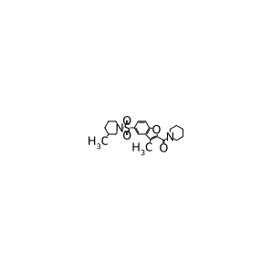 Cc1c(C(=O)N2CCCCC2)oc2ccc(S(=O)(=O)N3CCCC(C)C3)cc12